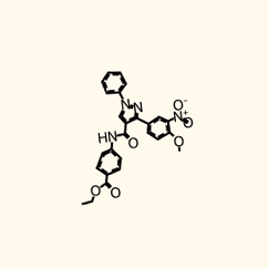 CCOC(=O)c1ccc(NC(=O)c2cn(-c3ccccc3)nc2-c2ccc(OC)c([N+](=O)[O-])c2)cc1